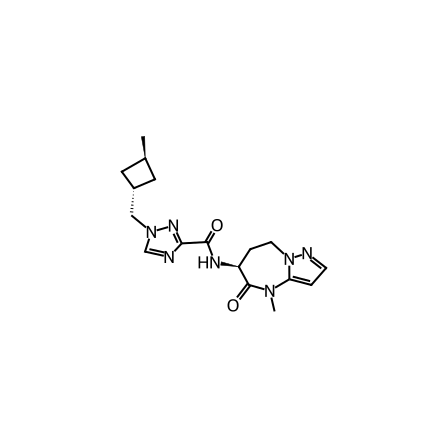 CN1C(=O)[C@@H](NC(=O)c2ncn(C[C@H]3C[C@H](C)C3)n2)CCn2nccc21